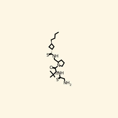 CCCC[C@H]1C[C@H](C(=S)NCC2CCCN2C(=O)[C@@H](NC(=S)CN)C(C)(C)C)C1